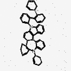 C1=CC[C@@H](C2=C(c3ccccc3-n3c4c(c5ccccc53)C3c5ccccc5N(C5C=CCCC5)C5=C(CCC=C5)C3C=C4)C=CCC2)C=C1